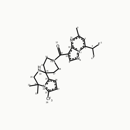 Cc1cc(C(F)F)n2ncc(C(=O)N3CCC4(CC3)NCC(C)(C)n3c(C(F)(F)F)ccc34)c2n1